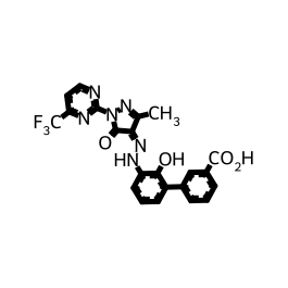 CC1=NN(c2nccc(C(F)(F)F)n2)C(=O)/C1=N\Nc1cccc(-c2cccc(C(=O)O)c2)c1O